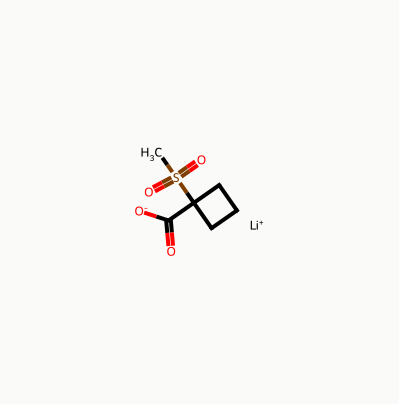 CS(=O)(=O)C1(C(=O)[O-])CCC1.[Li+]